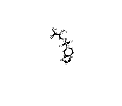 N[C@@H](CNS(=O)(=O)N1CCn2ccnc2C1)C(=O)O